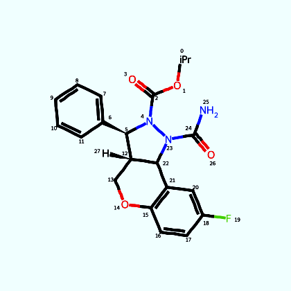 CC(C)OC(=O)N1[C@H](c2ccccc2)[C@H]2COc3ccc(F)cc3C2N1C(N)=O